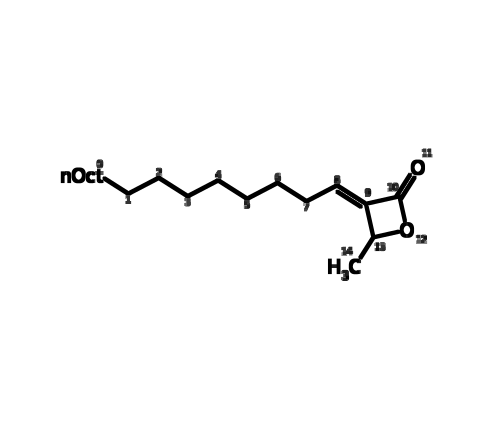 CCCCCCCCCCCCCCC/C=C1/C(=O)OC1C